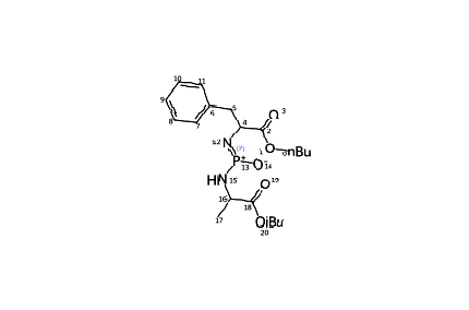 CCCCOC(=O)C(Cc1ccccc1)/N=[P+](\[O-])NC(C)C(=O)OCC(C)C